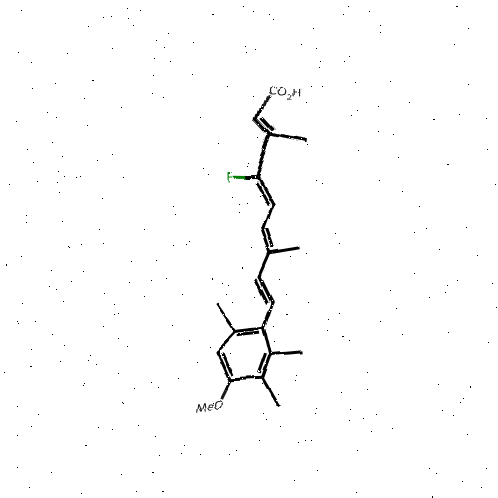 COc1cc(C)c(/C=C/C(C)=C/C=C(F)/C(C)=C/C(=O)O)c(C)c1C